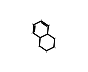 C1=CC2CCCCC2C=C1